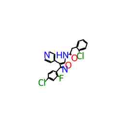 O=C(Cc1ccccc1Cl)Nc1onc(-c2ccc(Cl)cc2F)c1-c1ccncc1